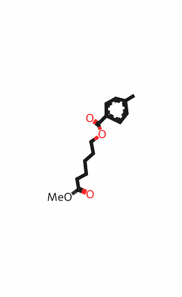 COC(=O)CCCCCOC(=O)c1ccc(C)cc1